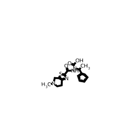 CC(c1ccccc1)N(NC(=O)c1nc2c(s1)CN(C)CC2)C(=O)O